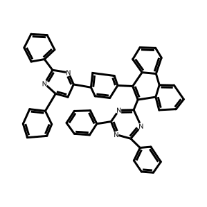 c1ccc(-c2cc(-c3ccc(-c4c(-c5nc(-c6ccccc6)nc(-c6ccccc6)n5)c5ccccc5c5ccccc45)cc3)nc(-c3ccccc3)n2)cc1